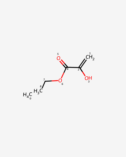 C.C=C(O)C(=O)OCC